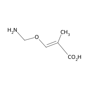 CC(=COCN)C(=O)O